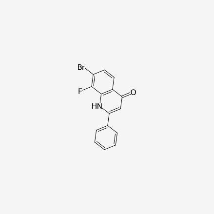 O=c1cc(-c2ccccc2)[nH]c2c(F)c(Br)ccc12